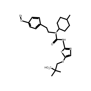 CCOc1ccc(CCN(C(=O)Nc2ncc(SCC(C)(C)C(=O)O)s2)C2CCC(C)CC2)cc1